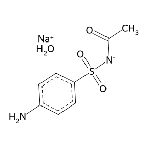 CC(=O)[N-]S(=O)(=O)c1ccc(N)cc1.O.[Na+]